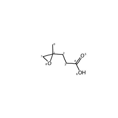 CC1(CCC(=O)O)CO1